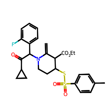 C=C1C(C(=O)OCC)C(SS(=O)(=O)c2ccc(C)cc2)CCN1C(C(=O)C1CC1)c1ccccc1F